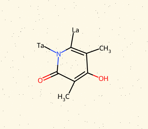 Cc1c(O)c(C)c(=O)[n]([Ta])[c]1[La]